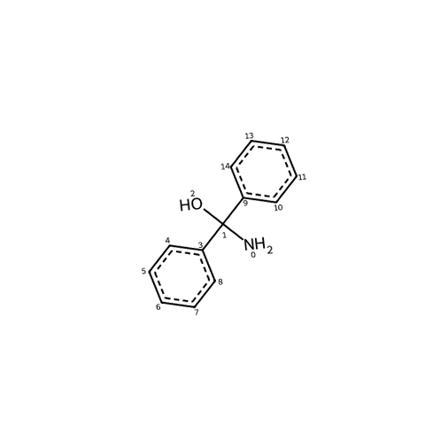 NC(O)(c1ccccc1)c1ccccc1